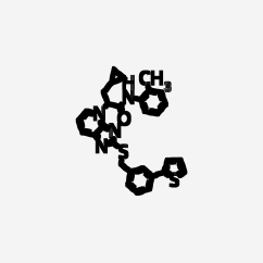 Cc1ccccc1NC(=O)C(CC1CC1)n1cccc2nc(SCc3cccc(-c4cccs4)c3)nc1-2